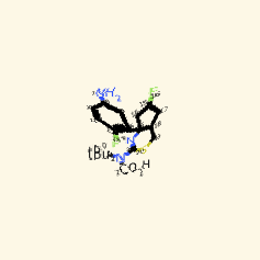 CC(C)(C)N(C(=O)O)C1=NC2(c3cc(N)ccc3F)CC(F)CC2CS1